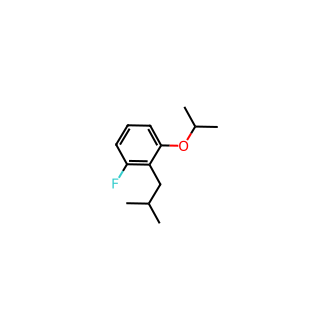 CC(C)Cc1c(F)cccc1OC(C)C